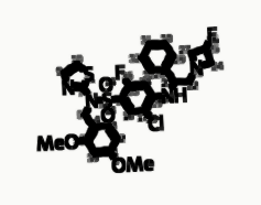 COc1ccc(CN(c2nccs2)S(=O)(=O)c2cc(Cl)c(NC(CN3CC(F)C3)c3ccccc3)cc2F)c(OC)c1